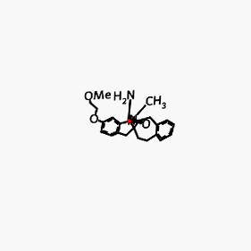 COCCOc1ccc2c(c1)C1(N=C(N)N(C)C1=O)C1(CCc3ccccc3CC1)C2